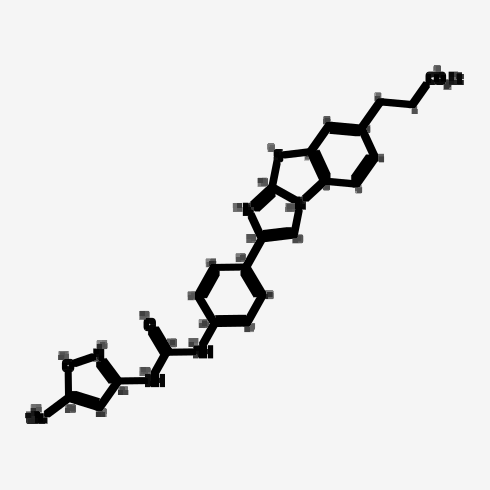 CCOC(=O)CCc1ccc2c(c1)sc1nc(-c3ccc(NC(=O)Nc4cc(C(C)(C)C)on4)cc3)cn12